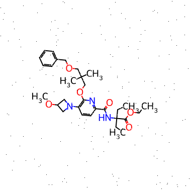 CCOC(=O)C(CC)(CC)NC(=O)c1ccc(N2CC(OC)C2)c(OCC(C)(C)COCc2ccccc2)n1